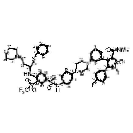 CNC(=O)c1c(-c2cccc(N3CCN(c4ccc(NS(=O)(=O)c5ccc(NC(CCN6CCOCC6)CSc6ccccc6)c(S(=O)(=O)C(F)(F)F)c5)cc4)CC3)c2)c(-c2ccc(F)cc2)n(C)c1C